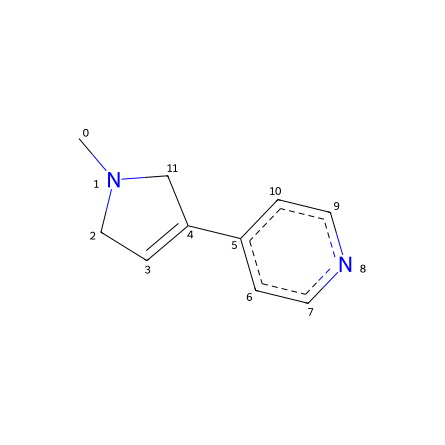 CN1CC=C(c2ccncc2)C1